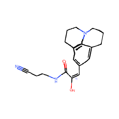 N#CCCNC(=O)/C(O)=C\c1cc2c3c(c1)CCCN3CCC2